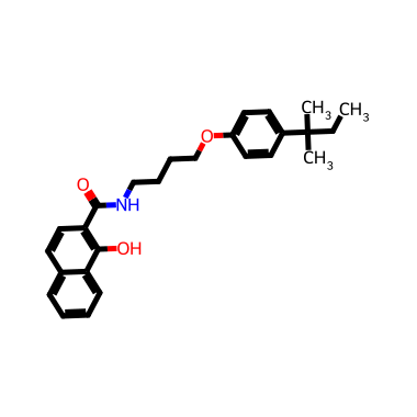 CCC(C)(C)c1ccc(OCCCCNC(=O)c2ccc3ccccc3c2O)cc1